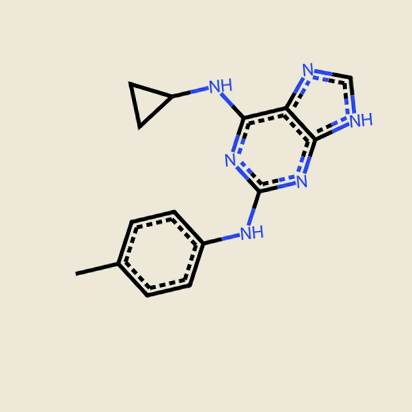 Cc1ccc(Nc2nc(NC3CC3)c3nc[nH]c3n2)cc1